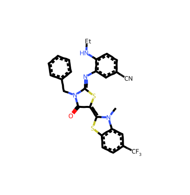 CCNc1ccc(C#N)cc1N=C1SC(=C2Sc3ccc(C(F)(F)F)cc3N2C)C(=O)N1Cc1ccccc1